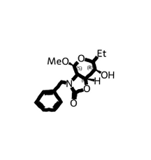 CCC1O[C@H](OC)C2[C@@H](OC(=O)N2Cc2ccccc2)[C@@H]1O